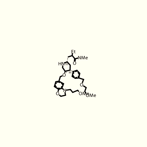 CCC(C[C@@H]1C[C@H](c2ccc(COCCOC)cc2)[C@@H](OCc2ccc3c(c2)N(CCCOC)CCO3)CN1)C(=O)NC